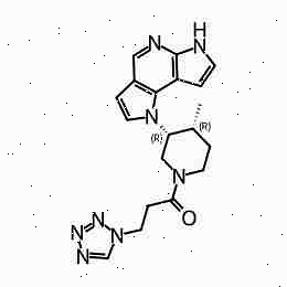 C[C@@H]1CCN(C(=O)CCn2cnnn2)C[C@@H]1n1ccc2cnc3[nH]ccc3c21